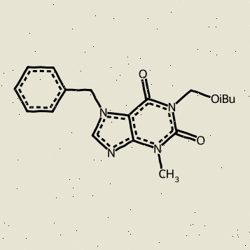 CC(C)COCn1c(=O)c2c(ncn2Cc2ccccc2)n(C)c1=O